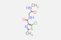 CNC(=O)CNC(=O)c1nc(C)sc1Cl